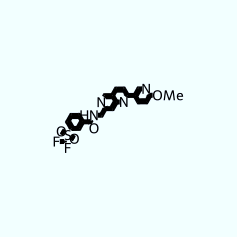 COc1ccc(-c2ccc3cnc(CNC(=O)c4cccc(S(=O)(=O)C(F)F)c4)cc3n2)cn1